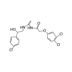 C=C(NCC(O)c1ccc(Cl)cc1)NC(=O)COc1ccc(Cl)c(Cl)c1